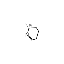 C[C@@H]1CCCC=N1